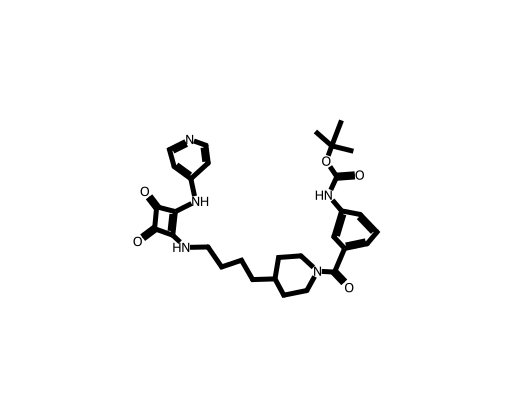 CC(C)(C)OC(=O)Nc1cccc(C(=O)N2CCC(CCCCNc3c(Nc4ccncc4)c(=O)c3=O)CC2)c1